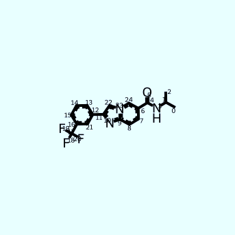 CC(C)NC(=O)c1ccc2nc(-c3cccc(C(F)(F)F)c3)cn2c1